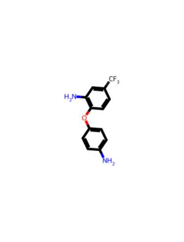 Nc1ccc(Oc2ccc(C(F)(F)F)cc2N)cc1